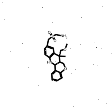 COCC1(C)c2cc(CS(=O)(=O)CN)ccc2NC2c3ccccc3OCC21